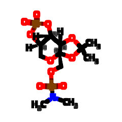 CN(C)S(=O)(=O)OC[C@@]12OC[C@H]3OS(=O)(=O)O[C@H]3[C@@H]1OC(C)(C)O2